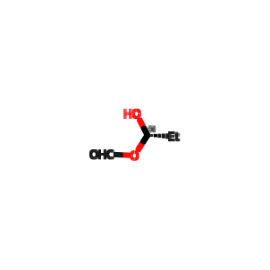 CC[C@@H](O)OC=O